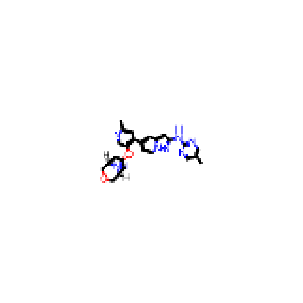 Cc1cnc(Nc2cc3cc(-c4cc(C)ncc4OC4C[C@H]5COC[C@@H](C4)N5)ccn3n2)nc1